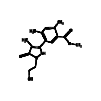 COC(=O)c1cc(-c2[nH]n(CCO)c(=O)c2C)c(C)cc1C